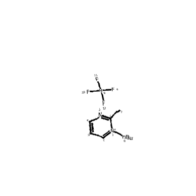 CCCC[n+]1cccnc1C.F[B-](F)(F)F